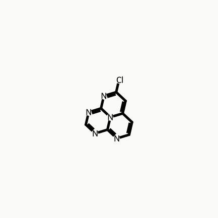 ClC1=NC2=NC=NC3=NC=CC(=C1)N32